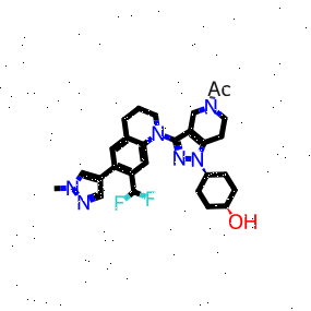 CC(=O)N1CCc2c(c(N3CCCc4cc(-c5cnn(C)c5)c(C(F)F)cc43)nn2[C@H]2CC[C@@H](O)CC2)C1